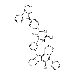 Clc1nc(-c2cccc(-n3c4ccccc4c4c5sc6ccccc6c5c5ccccc5c43)c2)c2sc3cc(-n4c5ccccc5c5ccccc54)ccc3c2n1